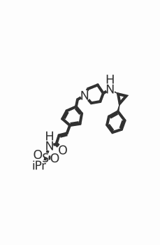 CC(C)S(=O)(=O)NC(=O)C=Cc1ccc(CN2CCC(N[C@@H]3C[C@H]3c3ccccc3)CC2)cc1